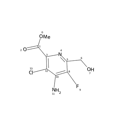 COC(=O)c1nc(CO)c(F)c(N)c1Cl